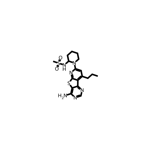 CCCc1cc(N2CCCCC2NS(C)(=O)=O)nc2sc3c(N)ncnc3c12